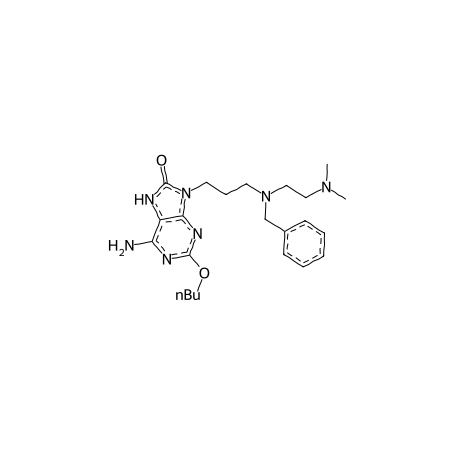 CCCCOc1nc(N)c2[nH]c(=O)n(CCCN(CCN(C)C)Cc3ccccc3)c2n1